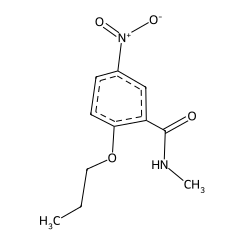 CCCOc1ccc([N+](=O)[O-])cc1C(=O)NC